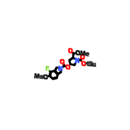 COC(=O)C1C[C@@H](OC(=O)N2Cc3ccc(OC)c(F)c3C2)CN1C(=O)OC(C)(C)C